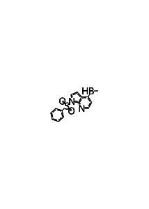 CBc1ccnc2c1ccn2S(=O)(=O)c1ccccc1